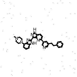 CN1CCN(c2cccc3[nH]c(-c4n[nH]c5ccc(-c6cncc(CCc7ccccc7)c6)nc45)nc23)CC1